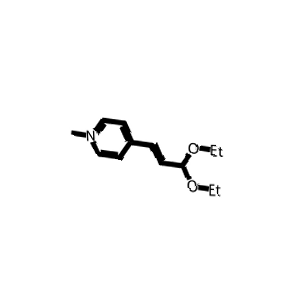 CCOC(C=Cc1cc[n+](C)cc1)OCC